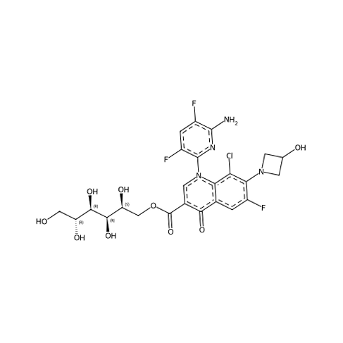 Nc1nc(-n2cc(C(=O)OC[C@H](O)[C@@H](O)[C@H](O)[C@H](O)CO)c(=O)c3cc(F)c(N4CC(O)C4)c(Cl)c32)c(F)cc1F